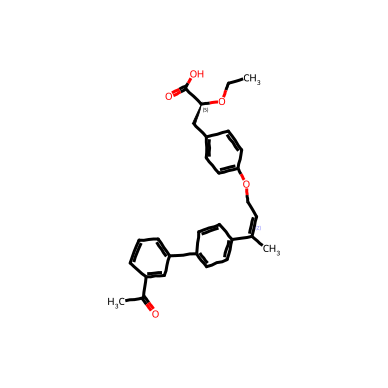 CCO[C@@H](Cc1ccc(OC/C=C(/C)c2ccc(-c3cccc(C(C)=O)c3)cc2)cc1)C(=O)O